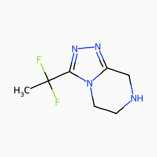 CC(F)(F)c1nnc2n1CCNC2